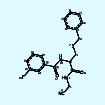 N#CCNC(=O)C(CSCc1ccccc1)NC(=O)c1cccc(F)c1